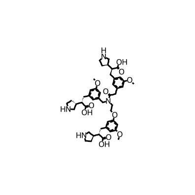 COc1cc(CC(=O)N(CCOc2cc(C[C@H](C(=O)O)[C@H]3CCNC3)cc(OC)c2)Cc2cc(C[C@H](C(=O)O)[C@H]3CCNC3)cc(OC)c2)cc(C[C@H](C(=O)O)[C@H]2CCNC2)c1